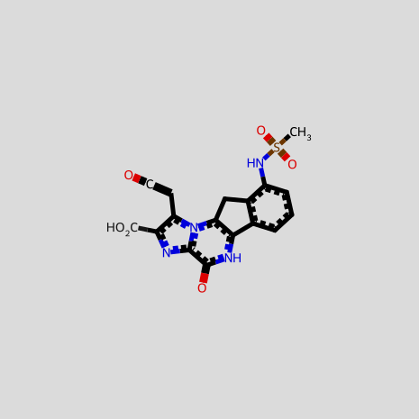 CS(=O)(=O)Nc1cccc2c1Cc1c-2[nH]c(=O)c2nc(C(=O)O)c(C=C=O)n12